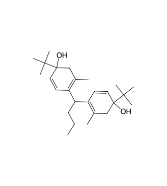 CCCC(C1=C(C)CC(O)(C(C)(C)C)C=C1)C1=C(C)CC(O)(C(C)(C)C)C=C1